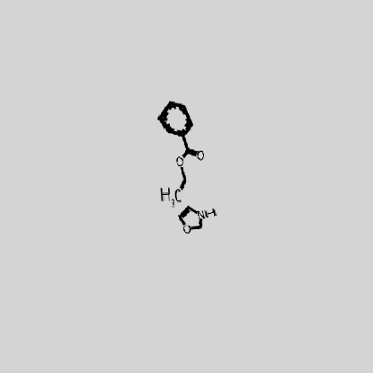 C1=COCN1.CCOC(=O)c1ccccc1